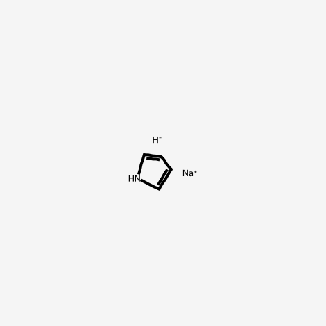 [H-].[Na+].c1cc[nH]c1